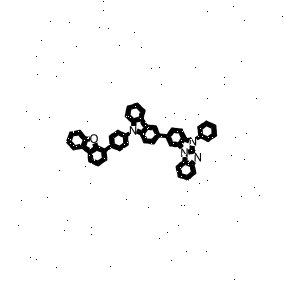 c1ccc(-n2c3ccc(-c4ccc5c(c4)c4ccccc4n5-c4ccc(-c5cccc6c5oc5ccccc56)cc4)cc3n3c4ccccc4nc23)cc1